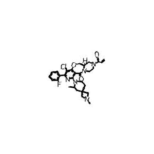 C=CC(=O)N1CCN2C(=O)c3c(N4CCC5(CC4C)CN(C)C5)nc(-c4ccccc4F)c(Cl)c3OC[C@H]2C1